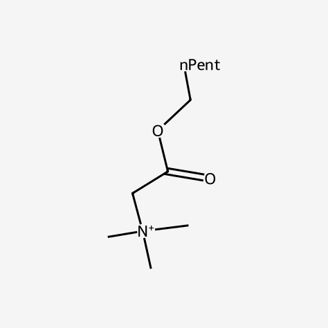 CCCCCCOC(=O)C[N+](C)(C)C